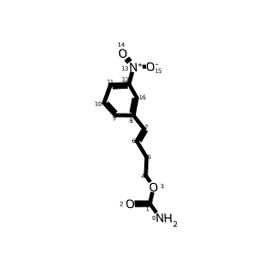 NC(=O)OCCC=Cc1cccc([N+](=O)[O-])c1